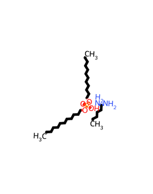 CCCCCC(N)N.CCCCCCCCCCCCOP(=O)(O)OCCCCCCCCCCCC